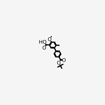 COc1cc(C)c(-c2ccc(C(=O)OC(C)(C)C)cc2)cc1C(=O)O